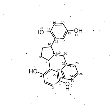 Oc1ccc(O)c(C2CCC(c3cc(O)ccc3O)N2Cc2ccncc2)c1